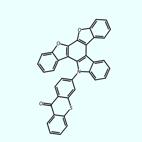 O=c1c2ccccc2sc2cc(-n3c4ccccc4c4c5c6ccccc6oc5c5oc6ccccc6c5c43)ccc12